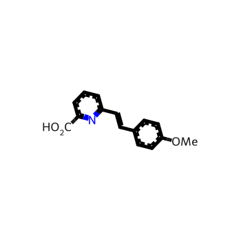 COc1ccc(C=Cc2cccc(C(=O)O)n2)cc1